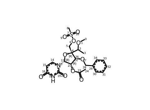 COC(C)[C@@]1(COS(C)(=O)=O)O[C@@H](n2ccc(=O)[nH]c2=O)[C@H](OC(C)=O)[C@@H]1OCc1ccccc1